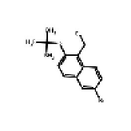 BC(B)(B)Oc1ccc2cc(Br)ccc2c1CCl